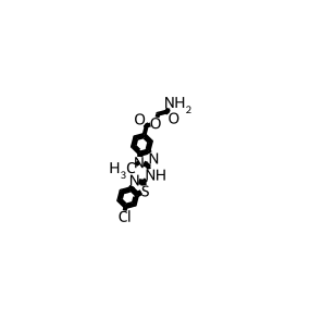 Cn1c(Nc2nc3ccc(Cl)cc3s2)nc2cc(C(=O)OCC(N)=O)ccc21